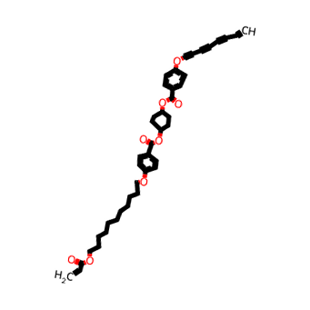 C#CC#CC#CC#COc1ccc(C(=O)OC2CCC(OC(=O)c3ccc(OCCCCCCCCCCCOC(=O)C=C)cc3)CC2)cc1